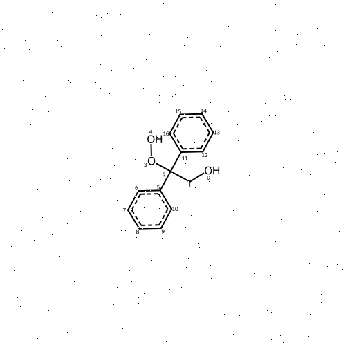 OCC(OO)(c1ccccc1)c1ccccc1